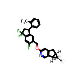 CC(=O)[C@H]1[C@@H]2Cc3cc(OCc4cc5c(cc4F)C(F)(F)CC5c4ccccc4C(F)(F)F)ncc3[C@@H]21